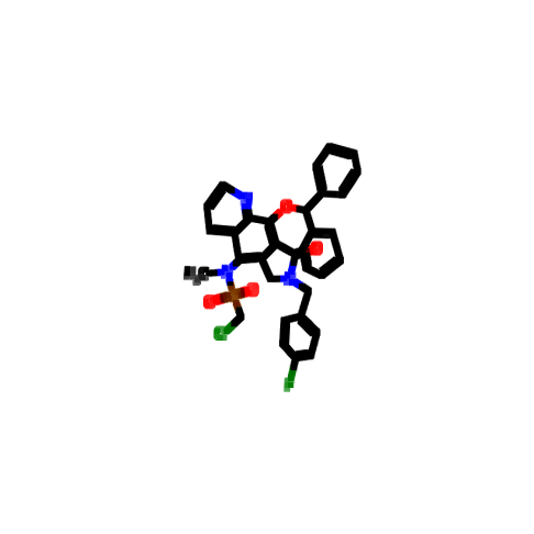 CN(c1c2c(c(OC(c3ccccc3)c3ccccc3)c3ncccc13)C(=O)N(Cc1ccc(F)cc1)C2)S(=O)(=O)CCl